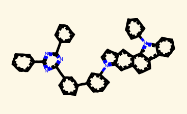 c1ccc(-c2nc(-c3ccccc3)nc(-c3cccc(-c4cccc(-n5ccc6cc7c(ccc8c9ccccc9n(-c9ccccc9)c78)cc65)c4)c3)n2)cc1